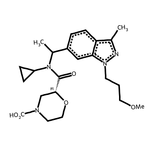 COCCCn1nc(C)c2ccc(C(C)N(C(=O)[C@H]3CN(C(=O)O)CCO3)C3CC3)cc21